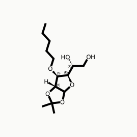 CCCCCO[C@H]1[C@@H]([C@H](O)CO)OC2OC(C)(C)O[C@@H]21